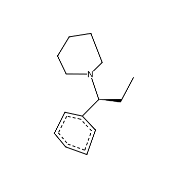 CC[C@@H](c1ccccc1)N1CCCCC1